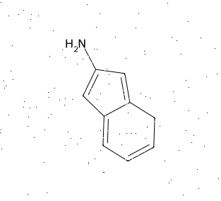 NC1=CC2=CC=CCC2=C1